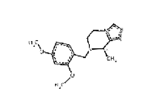 COc1ccc(CN2CCn3cnnc3[C@H]2C)c(OC)c1